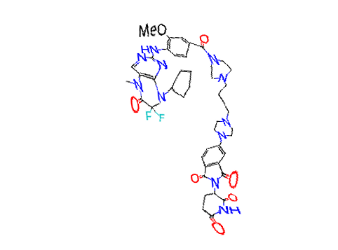 COc1cc(C(=O)N2CCN(CCCN3CCN(c4ccc5c(c4)C(=O)N(C4CCC(=O)NC4=O)C5=O)CC3)CC2)ccc1Nc1ncc2c(n1)N(C1CCCC1)CC(F)(F)C(=O)N2C